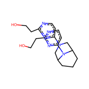 OCCc1nccc(N2CC3CCCC(C2)N3c2ccnc(CCO)n2)n1